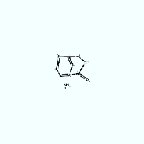 N.O=C1OCc2cccc1c2